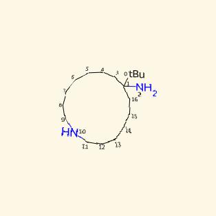 CC(C)(C)C1(N)CCCCCCCNCCCCCC1